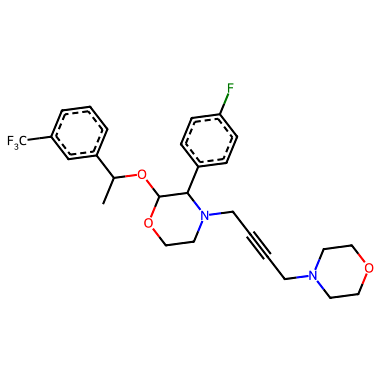 CC(OC1OCCN(CC#CCN2CCOCC2)C1c1ccc(F)cc1)c1cccc(C(F)(F)F)c1